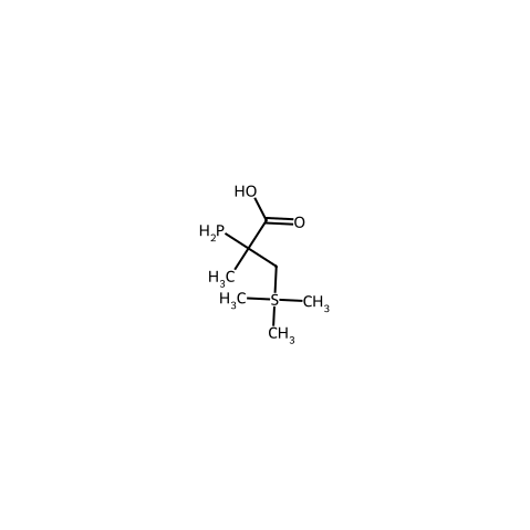 CC(P)(CS(C)(C)C)C(=O)O